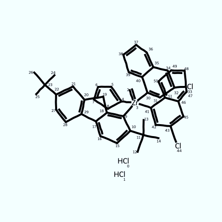 Cl.Cl.[CH2]=[Zr]([C]1=CC=CC1)([c]1c(C(C)(C)C)ccc2c1Cc1cc(C(C)(C)C)ccc1-2)([c]1cc(Cl)cc2ccccc12)[c]1cc(Cl)cc2ccccc12